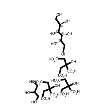 O=C(O)CC(O)(CC(=O)O)C(=O)O.O=C(O)CC(O)(CC(=O)O)C(=O)O.O=C(O)CC(O)(CC(=O)O)C(=O)O.OCC(O)CO.OC[C@@H](O)[C@@H](O)[C@H](O)[C@@H](O)CO